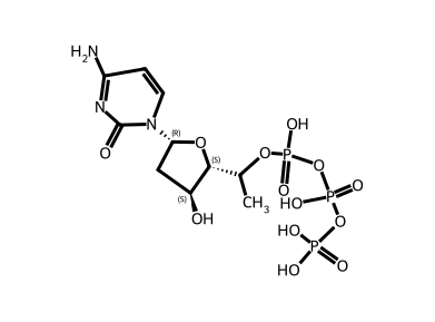 CC(OP(=O)(O)OP(=O)(O)OP(=O)(O)O)[C@H]1O[C@@H](n2ccc(N)nc2=O)C[C@@H]1O